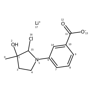 CC1(O)CCN(c2cccc(C(=O)[O-])c2)C1Cl.[Li+]